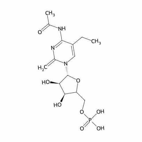 C=C1N=C(NC(C)=O)C(CC)=CN1[C@@H]1OC(COP(=O)(O)O)[C@@H](O)[C@H]1O